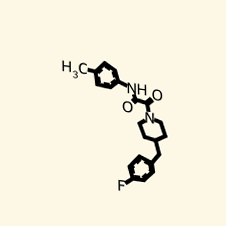 Cc1ccc(NC(=O)C(=O)N2CCC(Cc3ccc(F)cc3)CC2)cc1